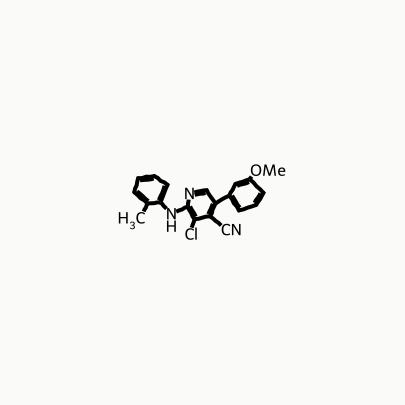 COc1cccc(-c2cnc(Nc3ccccc3C)c(Cl)c2C#N)c1